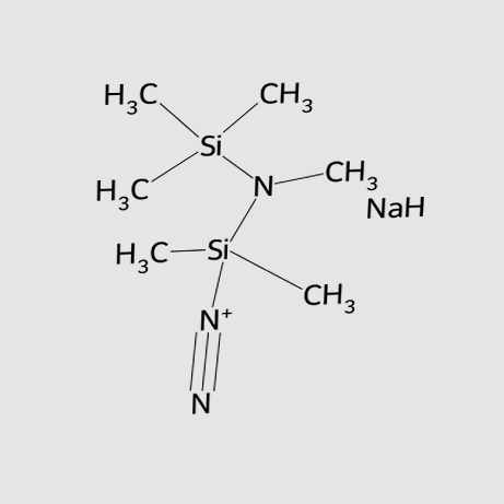 CN([Si](C)(C)C)[Si](C)(C)[N+]#N.[NaH]